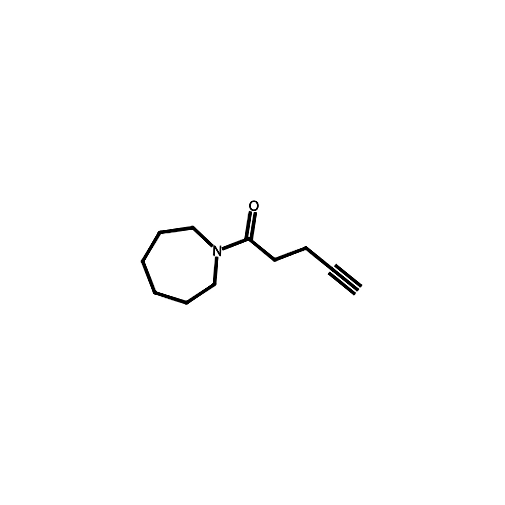 C#CCCC(=O)N1CCCCCC1